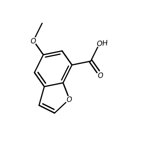 COc1cc(C(=O)O)c2occc2c1